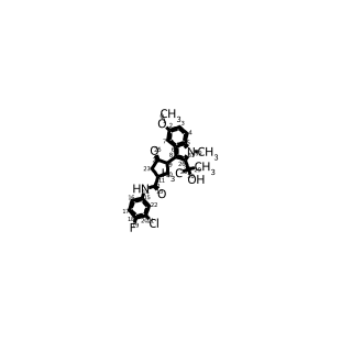 COc1ccc2c(c1)c(C1CC(C(=O)Nc3ccc(F)c(Cl)c3)CC1=O)c(C(C)(C)O)n2C